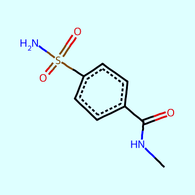 CNC(=O)c1ccc(S(N)(=O)=O)cc1